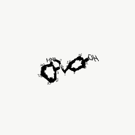 Oc1ccc(CN2CNc3ccccc32)cc1